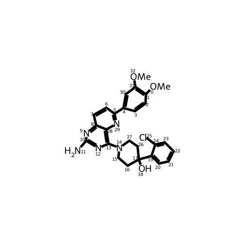 COc1ccc(-c2ccc3nc(N)nc(N4CCC(O)(c5ccccc5Cl)CC4)c3n2)cc1OC